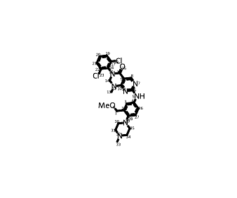 COCc1cc(Nc2ncc3c(n2)N(C)CN(c2c(Cl)cccc2Cl)C3=O)ccc1N1CCN(C)CC1